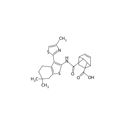 Cc1csc(-c2c(NC(=O)C3C4C=CC(CC4)C3C(=O)O)sc3c2CCC(C)(C)C3)n1